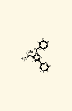 CC(C)(C)[C@@H](N)c1nc(-c2cnccn2)nn1Cc1ccccc1